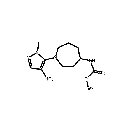 Cn1ncc([N+](=O)[O-])c1N1CCCC(NC(=O)OC(C)(C)C)CC1